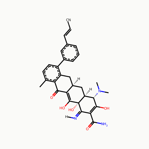 [H]/N=C1/C(C(N)=O)=C(O)[C@@H](N(C)C)[C@@H]2C[C@@H]3Cc4c(-c5cccc(/C=C/C#N)c5)ccc(C)c4C(=O)C3=C(O)[C@]12O